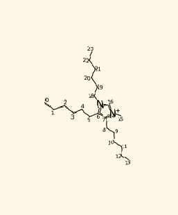 CCCCCCc1c(CCCCCC)[n+](C)cn1CCCCCC